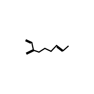 C=CC(=C)CCC/C=C/C